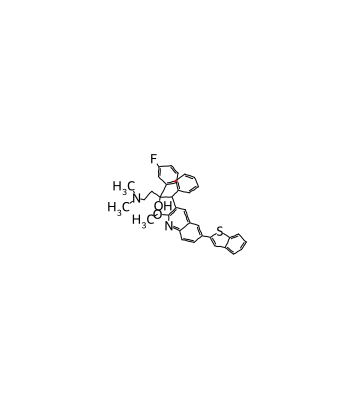 COc1nc2ccc(-c3cc4ccccc4s3)cc2cc1C(c1ccccc1)C(O)(CCN(C)C)c1cccc(F)c1